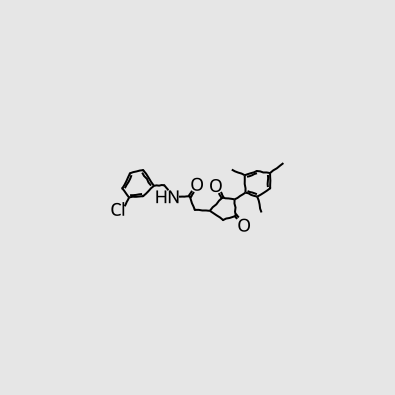 Cc1cc(C)c(C2C(=O)CC(CC(=O)NCc3cccc(Cl)c3)C2=O)c(C)c1